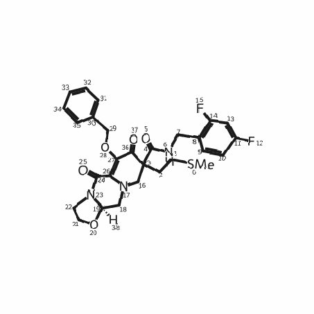 CSCCC1(C(=O)NCc2ccc(F)cc2F)CN2C[C@H]3OCCN3C(=O)C2=C(OCc2ccccc2)C1=O